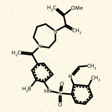 Bc1cc(C(=C)N2CCCN(C(=C)C(=C)OC)CC2)ccc1NS(=O)(=O)c1cccc(C)c1/N=C\C